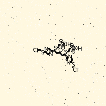 O=C(CC(SCCS(=O)(=O)O)c1cnc(SCCl)cn1)CC(SCCS(=O)(=O)O)c1cnc(SCCl)cn1